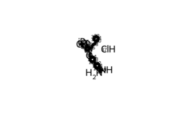 CC(C)OC(=O)C[C@@H]1C[C@@H](COc2ccc(-c3ccc(C(=N)N)cc3)cc2)N(CCCc2ccccc2)C1=O.Cl